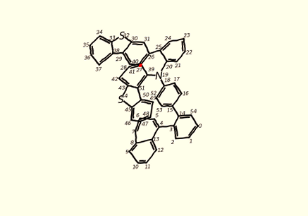 c1ccc(-c2cccc3ccccc23)c(-c2ccc(N(c3ccccc3-c3ccc4c(c3)sc3ccccc34)c3cccc4sc5ccccc5c34)cc2)c1